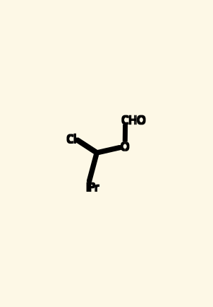 CC(C)C(Cl)OC=O